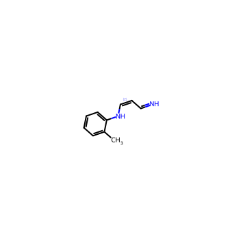 Cc1ccccc1N/C=C\C=N